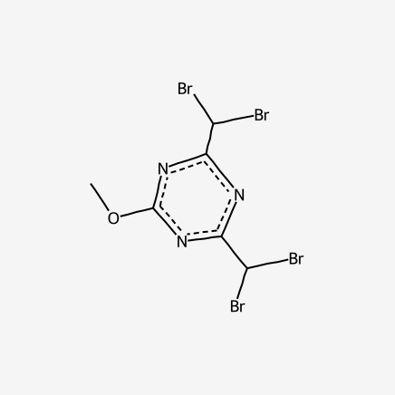 COc1nc(C(Br)Br)nc(C(Br)Br)n1